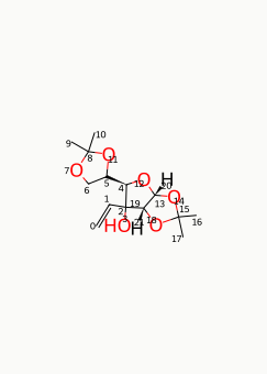 C=CC1(O)[C@@H](C2COC(C)(C)O2)O[C@@H]2OC(C)(C)O[C@@H]21